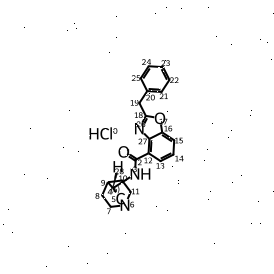 Cl.O=C(N[C@@H]1CN2CCC1CC2)c1cccc2oc(Cc3ccccc3)nc12